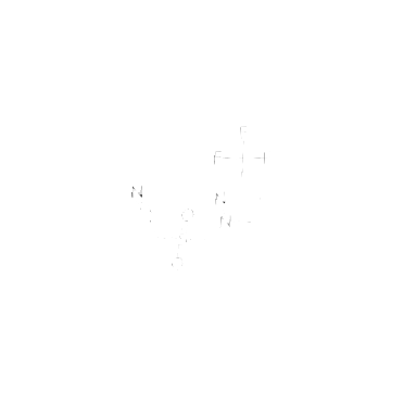 N#CCS(=O)(=O)Cn1ccc(C(F)(F)F)n1